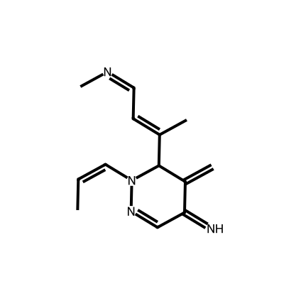 C=C1C(=N)C=NN(/C=C\C)C1/C(C)=C/C=N\C